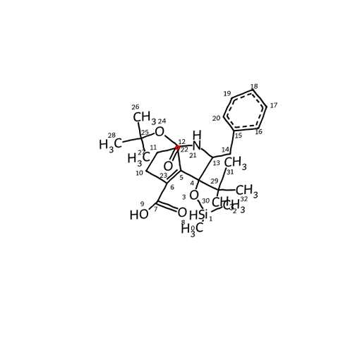 C[SiH](C)OC(C1=C(C(=O)O)CCC1)(C(Cc1ccccc1)NC(=O)OC(C)(C)C)C(C)(C)C